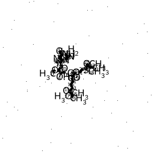 CO[C@@H]1[C@H](O)[C@@H](COP(=O)(OCCSC(=O)C(C)(C)C)OCCSC(=O)C(C)(C)C)O[C@H]1n1cnc2c(=O)[nH]c(N)nc21